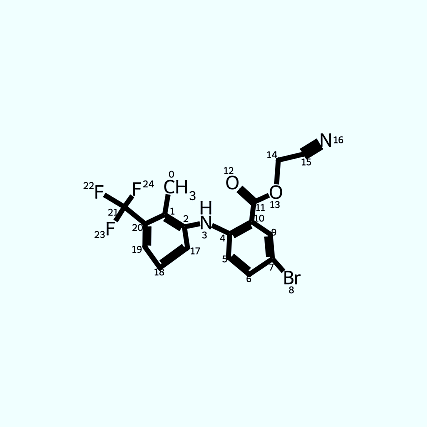 Cc1c(Nc2ccc(Br)cc2C(=O)OCC#N)cccc1C(F)(F)F